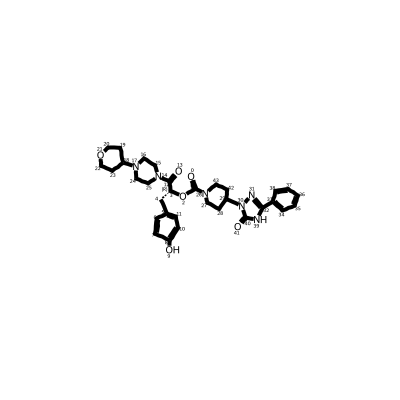 O=C(O[C@H](Cc1ccc(O)cc1)C(=O)N1CCN(C2CCOCC2)CC1)N1CCC(n2nc(-c3ccccc3)[nH]c2=O)CC1